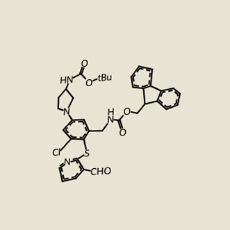 CC(C)(C)OC(=O)NC1CCN(c2cc(Cl)c(Sc3ncccc3C=O)c(CNC(=O)OCC3c4ccccc4-c4ccccc43)c2)C1